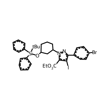 CCOC(=O)c1c(I)c(-c2ccc(Br)cc2)nn1C1CCCC(O[Si](c2ccccc2)(c2ccccc2)C(C)(C)C)C1